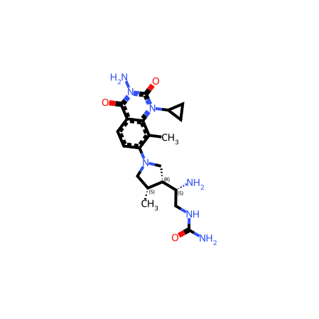 Cc1c(N2C[C@H]([C@H](N)CNC(N)=O)[C@H](C)C2)ccc2c(=O)n(N)c(=O)n(C3CC3)c12